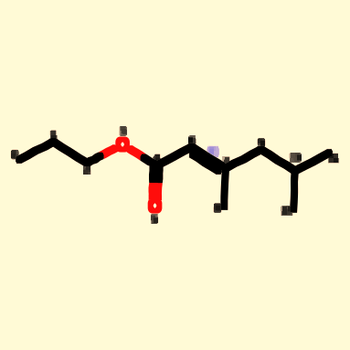 CCCOC(=O)/C=C(\C)CC(C)C